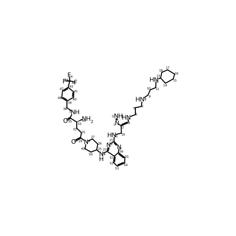 N=N/C(=C\NCCCNCCCNC1CCCCC1)CNc1nc(NC2CCN(C(=O)CC[C@H](N)C(=O)NCc3ccc(C(F)(F)F)cc3)CC2)c2ccccc2n1